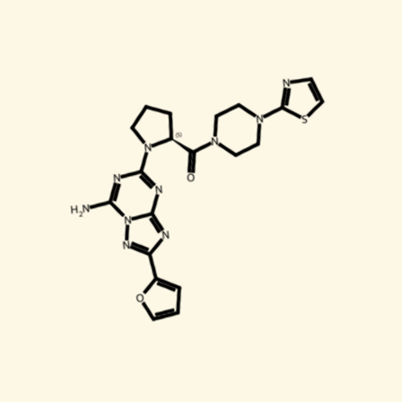 Nc1nc(N2CCC[C@H]2C(=O)N2CCN(c3nccs3)CC2)nc2nc(-c3ccco3)nn12